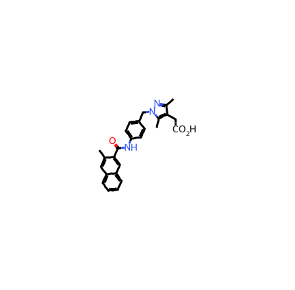 Cc1cc2ccccc2cc1C(=O)Nc1ccc(Cn2nc(C)c(CC(=O)O)c2C)cc1